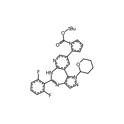 CC(C)(C)OC(=O)n1cccc1-c1cnc2c(c1)-c1c(cnn1C1CCCCO1)N=C(c1c(F)cccc1F)N2